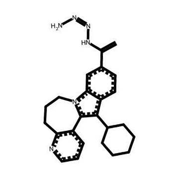 C=C(N/N=N\N)c1ccc2c(C3CCCCC3)c3n(c2c1)CCCc1ncccc1-3